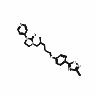 Cc1noc(-c2ccc(OCCCC(C)CN3CCN(c4ccncc4)C3=O)cc2)n1